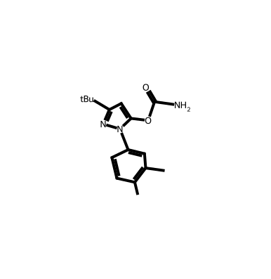 Cc1ccc(-n2nc(C(C)(C)C)cc2OC(N)=O)cc1C